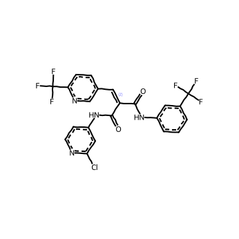 O=C(Nc1cccc(C(F)(F)F)c1)/C(=C/c1ccc(C(F)(F)F)nc1)C(=O)Nc1ccnc(Cl)c1